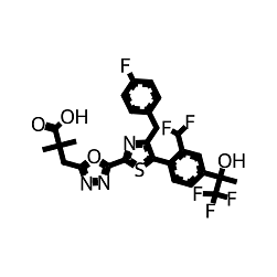 CC(C)(Cc1nnc(-c2nc(Cc3ccc(F)cc3)c(-c3ccc(C(C)(O)C(F)(F)F)cc3C(F)F)s2)o1)C(=O)O